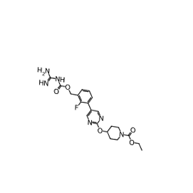 CCOC(=O)N1CCC(Oc2ncc(-c3cccc(COC(=O)NC(=N)N)c3F)cn2)CC1